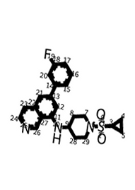 O=S(=O)(C1CC1)N1CCC(Nc2cc(-c3cccc(F)c3)cc3ccncc23)CC1